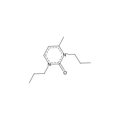 CCCn1ccc(C)[n+](CCC)c1=O